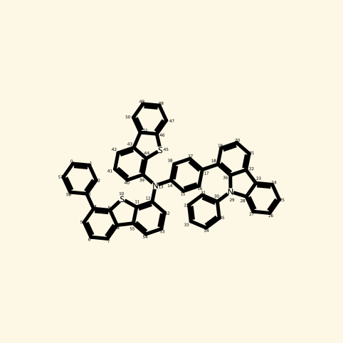 c1ccc(-c2cccc3c2sc2c(N(c4ccc(-c5cccc6c7ccccc7n(-c7ccccc7)c56)cc4)c4cccc5c4sc4ccccc45)cccc23)cc1